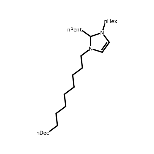 CCCCCCCCCCCCCCCCCCN1C=CN(CCCCCC)C1CCCCC